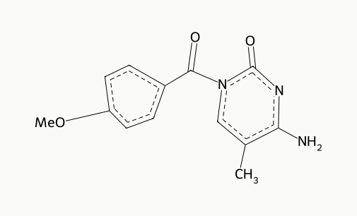 COc1ccc(C(=O)n2cc(C)c(N)nc2=O)cc1